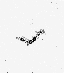 C=C(C)C(=C)OCCOC(=O)Nc1ccc(Cc2ccc(NC(=O)OCCO[C@](C)(I)C(=C)C)cc2)cc1